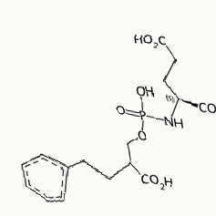 O=C(O)CC[C@H](NP(=O)(O)OCC(CCc1ccccc1)C(=O)O)C(=O)O